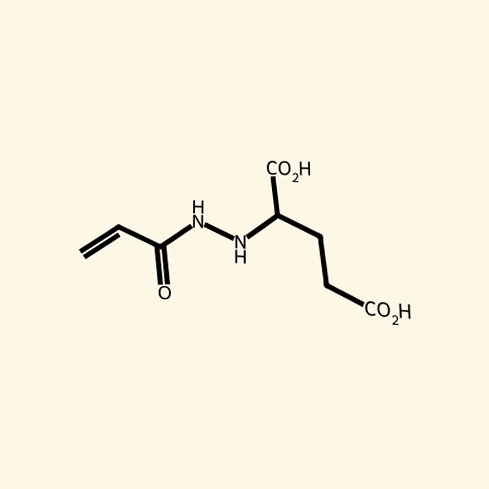 C=CC(=O)NNC(CCC(=O)O)C(=O)O